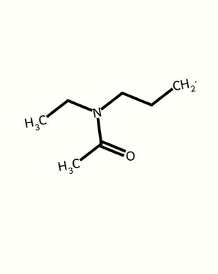 [CH2]CCN(CC)C(C)=O